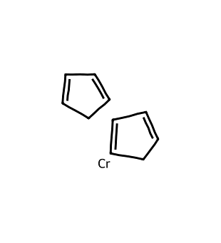 C1=CCC=C1.C1=CCC=C1.[Cr]